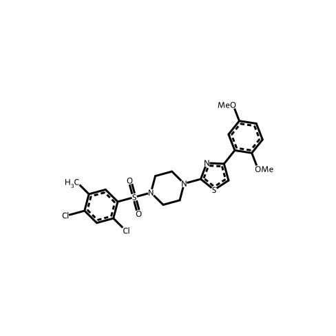 COc1ccc(OC)c(-c2csc(N3CCN(S(=O)(=O)c4cc(C)c(Cl)cc4Cl)CC3)n2)c1